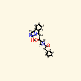 O=C(Cc1ccccc1)N1CC(C(O)CC2c3ccccc3-c3cncn32)C1